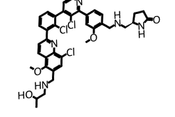 COc1cc(-c2nccc(-c3cccc(-c4ccc5c(OC)c(CNCC(C)O)cc(Cl)c5n4)c3Cl)c2Cl)ccc1CNC[C@H]1CCC(=O)N1